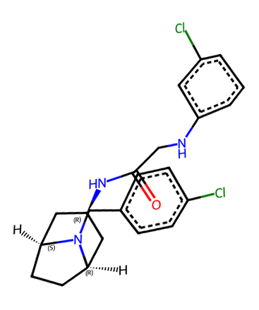 O=C(CNc1cccc(Cl)c1)N[C@H]1C[C@H]2CC[C@@H](C1)N2Cc1ccc(Cl)cc1